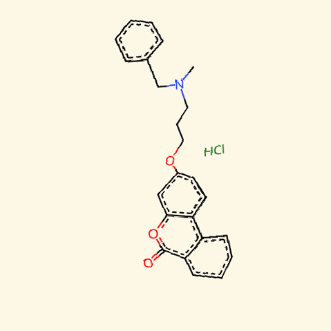 CN(CCCOc1ccc2c(c1)oc(=O)c1ccccc12)Cc1ccccc1.Cl